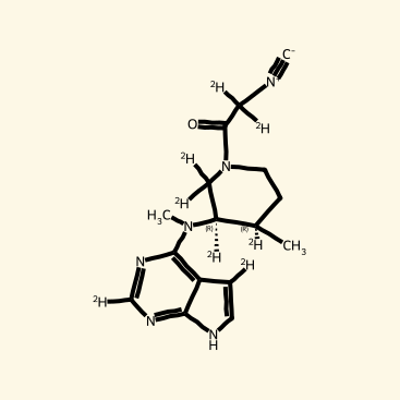 [2H]c1nc(N(C)[C@@]2([2H])C([2H])([2H])N(C(=O)C([2H])([2H])[N+]#[C-])CC[C@@]2([2H])C)c2c([2H])c[nH]c2n1